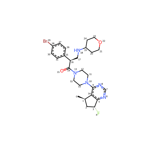 C[C@@H]1C[C@@H](F)c2ncnc(N3CCN(C(=O)[C@H](CNC4CCOCC4)c4ccc(Br)cc4)CC3)c21